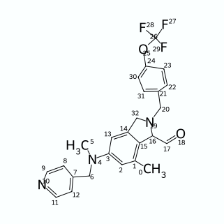 Cc1cc(N(C)Cc2ccncc2)cc2c1C(C=O)N(Cc1ccc(OC(F)(F)F)cc1)C2